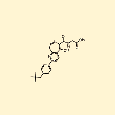 CC(C)(C)CC1C=CC(c2ccc3c(n2)CC=NC(C(=O)NCC(=O)O)=C3O)=CC1